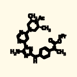 CCCOC(=O)N(C)c1ccc(Nc2nc(N)n(-c3cc(N4C[C@@H](C)N(C(C)=O)[C@@H](C)C4)ncn3)n2)cc1